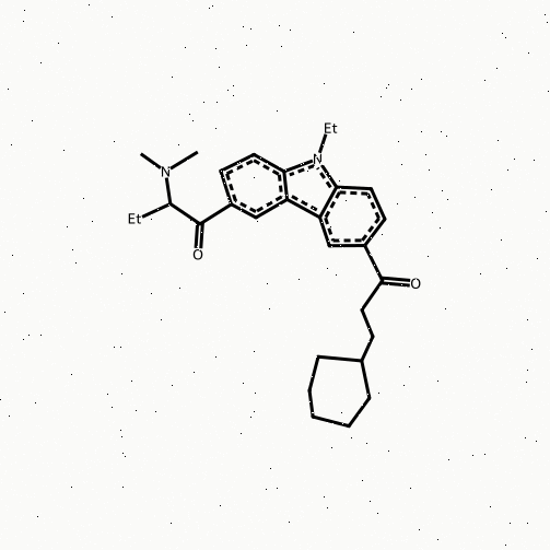 CCC(C(=O)c1ccc2c(c1)c1cc(C(=O)CCC3CCCCC3)ccc1n2CC)N(C)C